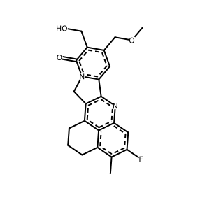 COCc1cc2n(c(=O)c1CO)Cc1c-2nc2cc(F)c(C)c3c2c1CCC3